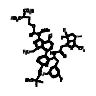 CSN(C(=O)OCCC(C(=O)O)C(=O)O)c1nn(CC(F)(F)F)c2c(-c3ccc(C#CC(C)(C)SC)nc3C(Cc3cc(F)cc(F)c3)NC(=O)Cn3nc(C(F)(F)F)c4c3C(F)(F)C[C@@H]4C)ccc(Cl)c12